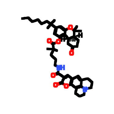 CCCCCCC(C)(C)c1cc(OC(=O)C(C)(C)CCCNC(=O)c2cc3cc4c5c(c3oc2=O)CCCN5CCC4)c2c(c1)OC(C)(C)[C@H]1CCC(=O)C[C@@H]21